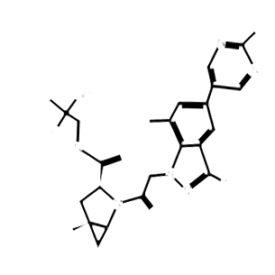 CCCC(C)(C)CNC(=O)[C@@H]1C[C@@]2(C)CC2N1C(=O)Cn1nc(C(C)=O)c2cc(-c3cnc(C)nc3)cc(C)c21